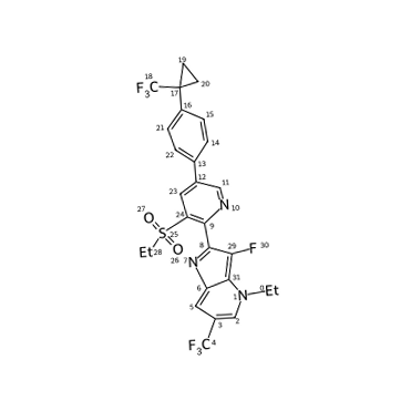 CCn1cc(C(F)(F)F)cc2nc(-c3ncc(-c4ccc(C5(C(F)(F)F)CC5)cc4)cc3S(=O)(=O)CC)c(F)c1-2